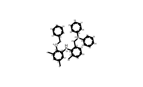 Cc1cc(C)c(OCc2ccccc2)c(Pc2c(C)cccc2CP(c2ccccc2)c2ccccc2)c1